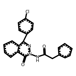 O=C(Cc1ccccc1)Nn1nc(-c2ccc(Cl)cc2)c2ccccc2c1=O